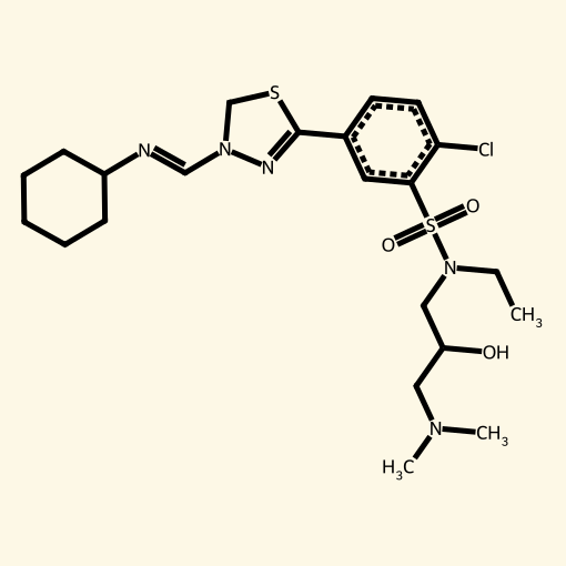 CCN(CC(O)CN(C)C)S(=O)(=O)c1cc(C2=NN(C=NC3CCCCC3)CS2)ccc1Cl